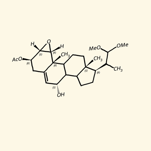 COC(OC)C(C)[C@H]1CCC2C3C(CC[C@@]21C)[C@]1(C)C(=C[C@H]3O)C[C@@H](OC(C)=O)[C@@H]2O[C@@H]21